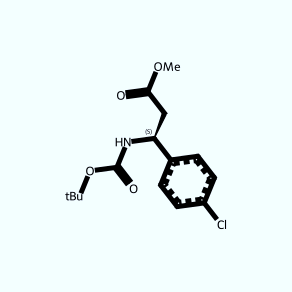 COC(=O)C[C@H](NC(=O)OC(C)(C)C)c1ccc(Cl)cc1